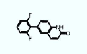 O=c1ccc2cc(-c3c(F)cccc3F)ccc2[nH]1